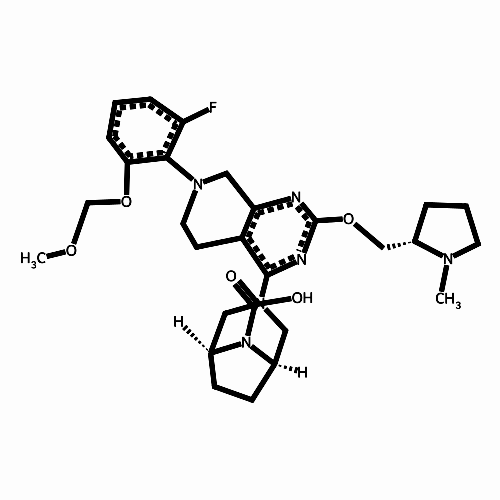 COCOc1cccc(F)c1N1CCc2c(nc(OC[C@@H]3CCCN3C)nc2N2C[C@H]3CC[C@@H](C2)N3C(=O)O)C1